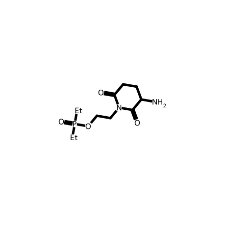 CCP(=O)(CC)OCCN1C(=O)CCC(N)C1=O